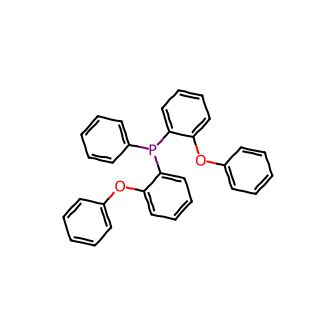 c1ccc(Oc2ccccc2P(c2ccccc2)c2ccccc2Oc2ccccc2)cc1